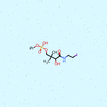 CC(C)OP(=O)(O)OCC(C)(C)C(O)C(=O)NCCI